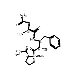 CC(C)(C)[N+]1(C(=O)[C@@H](O)[C@H](Cc2ccccc2)NC(=O)[C@@H](N)CC(N)=O)CCC[C@H]1C(N)=O.Cl